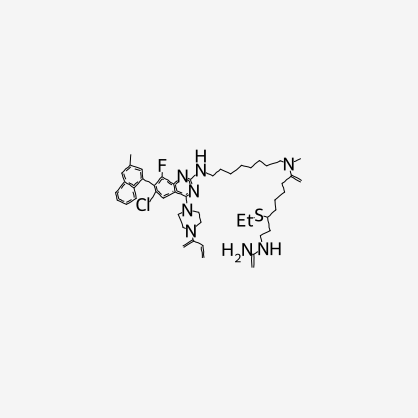 C=CC(=C)N1CCN(c2nc(NCCCCCCCCN(C)C(=C)CCCCC(CCNC(=C)N)SCC)nc3c(F)c(-c4cc(C)cc5ccccc45)c(Cl)cc23)CC1